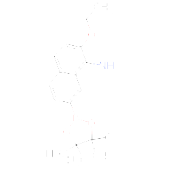 CCOc1ccc2ccc(B3OC(C)(C)C(C)(C)O3)cc2c1N